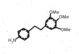 COc1cc(CCc2ccc(N)cc2)cc(OC)c1OC